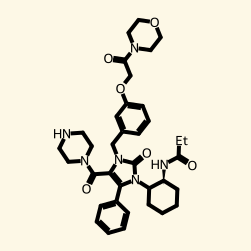 CCC(=O)N[C@H]1CCCCC1n1c(-c2ccccc2)c(C(=O)N2CCNCC2)n(Cc2cccc(OCC(=O)N3CCOCC3)c2)c1=O